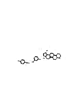 C=C(C)[C@@H]1CC[C@]2(C(=O)NCc3cccc(C(=O)NCC(F)(F)c4ccc(C(=O)O)cc4)c3)CC[C@]3(C)C(CCC4[C@@]5(C)CC[C@H](O)C(C)(C)C5CC[C@]43C)C12